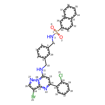 O=S(=O)(NCc1cccc(CNc2cc(-c3ccccc3Cl)nc3c(Br)cnn23)c1)c1ccc2ccccc2c1